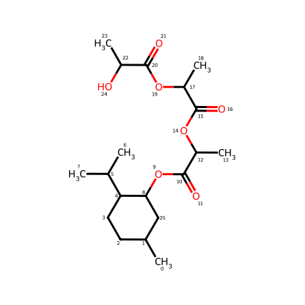 CC1CCC(C(C)C)C(OC(=O)C(C)OC(=O)C(C)OC(=O)C(C)O)C1